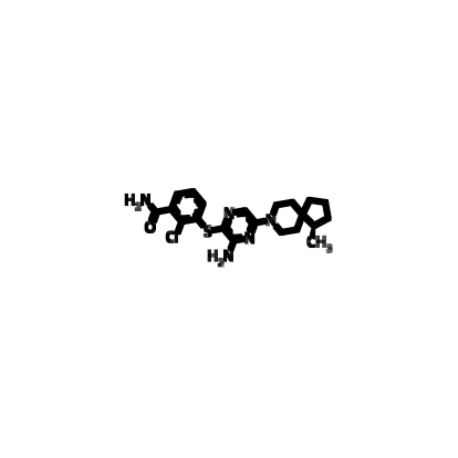 C[C@@H]1CCCC12CCN(c1cnc(Sc3cccc(C(N)=O)c3Cl)c(N)n1)CC2